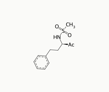 CC(=O)[C@@H](CCc1ccccc1)NS(C)(=O)=O